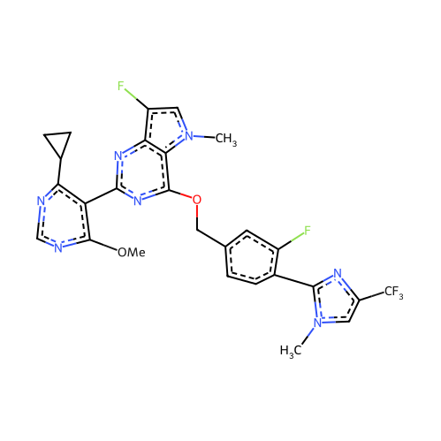 COc1ncnc(C2CC2)c1-c1nc(OCc2ccc(-c3nc(C(F)(F)F)cn3C)c(F)c2)c2c(n1)c(F)cn2C